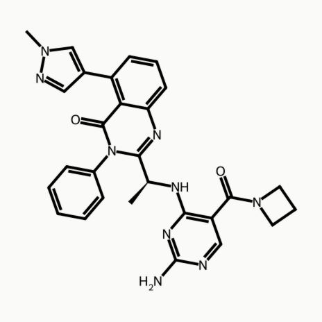 C[C@H](Nc1nc(N)ncc1C(=O)N1CCC1)c1nc2cccc(-c3cnn(C)c3)c2c(=O)n1-c1ccccc1